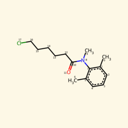 Cc1cccc(C)c1N(C)C(=O)CCCCCCl